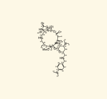 CC[C@H]1OC(=O)C(C)C(=O)[C@H](C)[C@@H](O[C@@H]2OC(CNCc3ccc(N(C)C)cc3)CC(N(C)C)C2O)[C@](C)(OC)C[C@@H](C)CN[C@H](C)[C@H]2NC(=O)O[C@@]21C